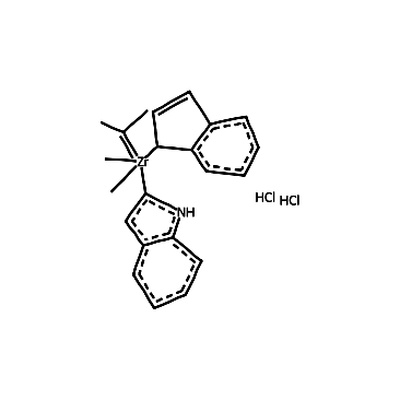 C[C](C)=[Zr]([CH3])([CH3])([c]1cc2ccccc2[nH]1)[CH]1C=Cc2ccccc21.Cl.Cl